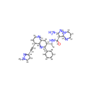 CC(NC(=O)c1c(N)nn2cccnc12)c1cc2nccc(C#Cc3ccn(C)n3)c2nc1-c1ccccc1